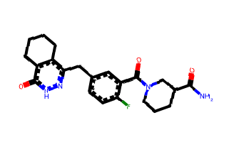 NC(=O)C1CCCN(C(=O)c2cc(Cc3n[nH]c(=O)c4c3CCCC4)ccc2F)C1